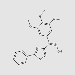 COc1cc(C(=NO)c2csc(-c3ccccc3)n2)cc(OC)c1OC